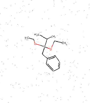 CCO[Si](Cc1ccccc1)(OCC)C(C)C